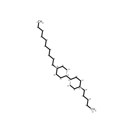 CCCCCCCCCC[C@H]1CC[C@H]([C@H]2CC[C@H](CCCCC)CC2)CC1